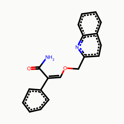 NC(=O)C(=COCc1ccc2ccccc2n1)c1ccccc1